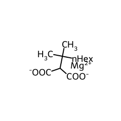 CCCCCCC(C)(C)C(C(=O)[O-])C(=O)[O-].[Mg+2]